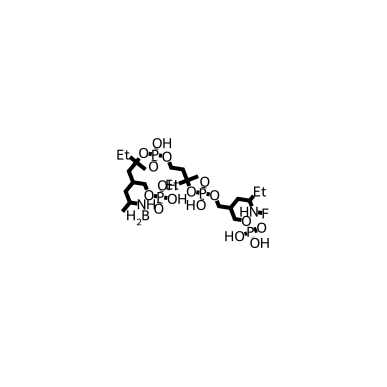 BNC(C)CC(COP(=O)(O)O)CC(C)(CC)OP(=O)(O)OCCC(C)(CC)OP(=O)(O)OCC(COP(=O)(O)O)CC(CC)NF